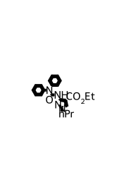 CCCn1cc(C(=O)OCC)c(NC(=O)N(c2ccccc2)c2ccccc2)n1